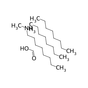 CCCCCCCC.CCCCCCCC.CCCCCCCCNC.O=CO